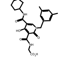 Cc1cc(C)cc(Cn2cc(C(=O)NC3CCCCC3)c(O)c(C(=O)NCC(=O)O)c2=O)c1